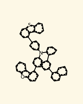 c1cc(-c2ccccc2N(c2ccc(-c3cccc4oc5ccccc5c34)cc2)c2ccc(-c3cccc4sc5ccccc5c34)cc2)cc(-c2cccc3ccccc23)c1